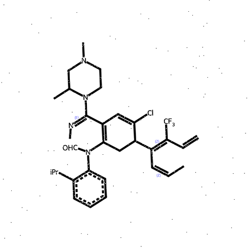 C=C/C(=C(\C=C/C)C1CC(N(C=O)c2ccccc2C(C)C)=C(/C(=N\C)N2CCN(C)CC2C)C=C1Cl)C(F)(F)F